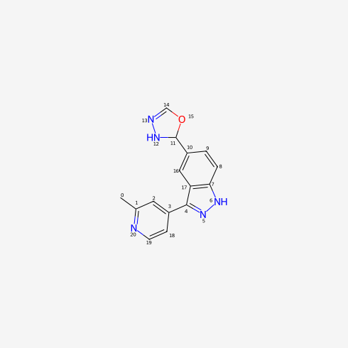 Cc1cc(-c2n[nH]c3ccc(C4NN=CO4)cc23)ccn1